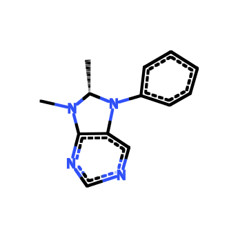 C[C@H]1N(C)c2ncncc2N1c1ccccc1